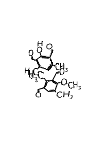 COc1c(C)cc(C=O)c(C)c1C=O.Cc1cc(C)c(C=O)c(O)c1C=O